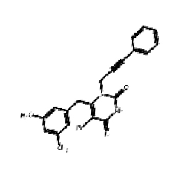 Cc1cc(C)cc(Cc2c(C(C)C)c(=O)[nH]c(=O)n2CC#Cc2ccccc2)c1